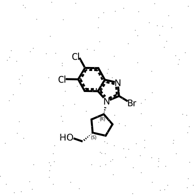 OC[C@H]1CC[C@@H](n2c(Br)nc3cc(Cl)c(Cl)cc32)C1